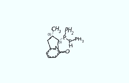 C[C@H]1Cc2cccc(=O)n2[C@H]1P(P)PP